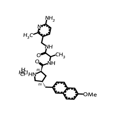 COc1ccc2cc(C[C@@H]3CN[C@@H](C(=O)NC(C)C(=O)NCc4ccc(N)nc4C)C3)ccc2c1.Cl.Cl